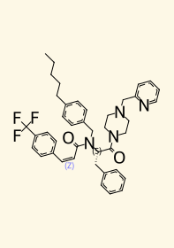 CCCCCc1ccc(CN(C(=O)/C=C\c2ccc(C(F)(F)F)cc2)[C@@H](Cc2ccccc2)C(=O)N2CCN(Cc3ccccn3)CC2)cc1